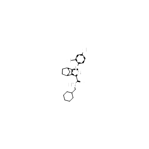 O=C(NCC1CCCCC1)c1nn(-c2ccc(Cl)cc2Cl)c2c1C1CCC2C1